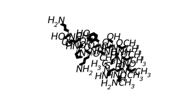 CC[C@H](C)[C@H](NC(=O)[C@H](Cc1c[nH]cn1)NC(=O)[C@H](C)N)C(=O)N[C@H](C(=O)N[C@@H](CCSC)C(=O)N[C@H](C(=O)N[C@@H](CC(=O)O)C(=O)N[C@@H](C)C(=O)N[C@@H](Cc1ccc(O)cc1)C(=O)N[C@@H](CCCCN)C(=O)N1CCC[C@H]1C(=O)N[C@H](C(=O)N[C@@H](CCCCN)C(=O)O)[C@@H](C)O)C(C)C)C(C)C